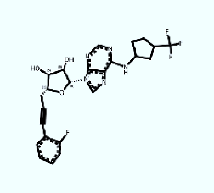 O[C@@H]1[C@H](O)[C@@H](CC#Cc2ccccc2F)O[C@H]1n1cnc2c(NC3CCC(C(F)(F)F)C3)ncnc21